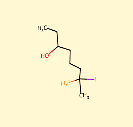 CCC(O)CCCC(C)(P)I